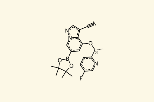 C[C@@H](Oc1cc(B2OC(C)(C)C(C)(C)O2)cn2ncc(C#N)c12)c1ccc(F)cn1